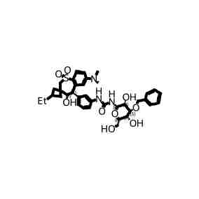 CCC1CC2(C1)CS(=O)(=O)c1ccc(N(C)C)cc1[C@@H](c1cccc(NC(=O)N[C@@H]3O[C@H](CO)[C@@H](O)[C@H](OCc4ccccc4)[C@H]3O)c1)[C@H]2O